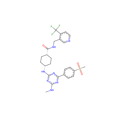 CNc1nc(N[C@H]2CC[C@@H](C(=O)NCc3cnccc3C(F)(F)F)CC2)nc(-c2ccc(S(C)(=O)=O)cc2)n1